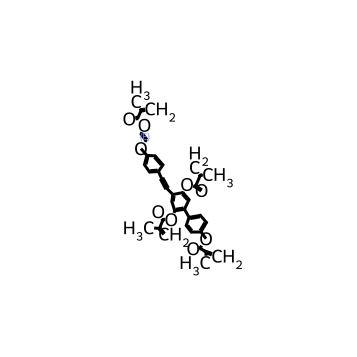 C=C(C)C(=O)O/C=C/Oc1ccc(C#Cc2cc(OC(=O)C(=C)C)c(-c3ccc(OC(=O)C(=C)C)cc3)cc2OC(=O)C(=C)C)cc1